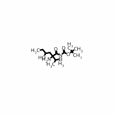 CCC(O)CC(N)(C(=O)NC(=O)OC(C)(C)C)C(C)C